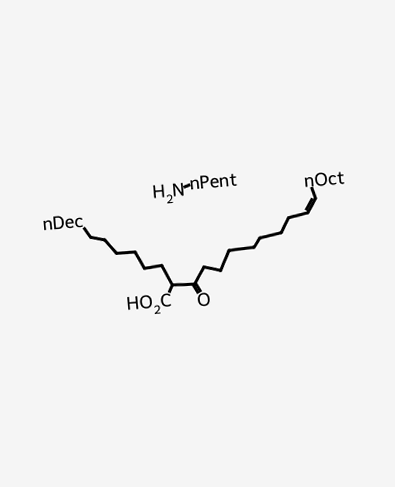 CCCCCCCC/C=C\CCCCCCCC(=O)C(CCCCCCCCCCCCCCCC)C(=O)O.CCCCCN